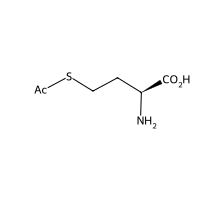 CC(=O)SCC[C@H](N)C(=O)O